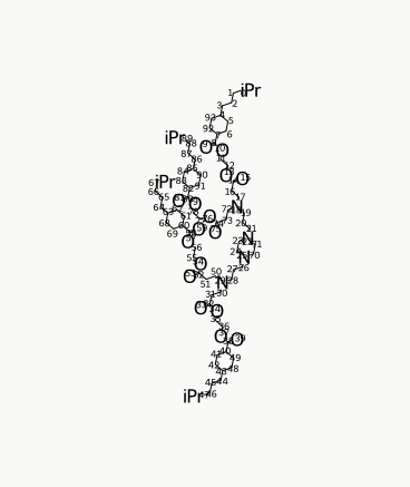 CC(C)CCCC1CCC(C(=O)OCCOC(=O)CCN(CCCN2CCN(CCCN(CCC(=O)OCCOC(=O)C3CCC(CCCC(C)C)CC3)CCC(=O)OCCOC(=O)C3CCC(CCCC(C)C)CC3)CC2)CCC(=O)OCCOC(=O)C2CCC(CCCC(C)C)CC2)CC1